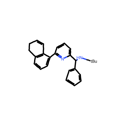 CC(C)(C)NC(c1ccccc1)c1cccc(-c2cccc3c2C=CCC3)n1